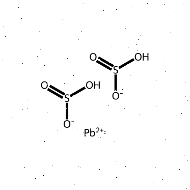 O=S([O-])O.O=S([O-])O.[Pb+2]